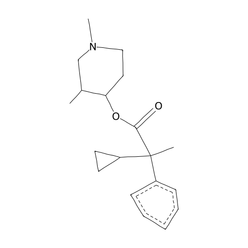 CC1CN(C)CCC1OC(=O)C(C)(c1ccccc1)C1CC1